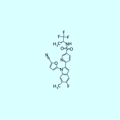 Cc1cc2c(cc1F)cc(-c1ccc(S(=O)(=O)N[C@@H](C)C(F)(F)F)cn1)n2-c1ccc(C#N)o1